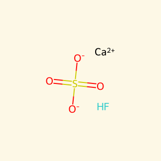 F.O=S(=O)([O-])[O-].[Ca+2]